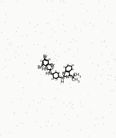 CN(C)c1nc(NC2CCC(NC(=S)Nc3c(Br)cc(Br)cc3Br)CC2)nc2c1CCCC2